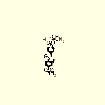 CC(C)(C)OC(=O)N1CCC(C[S+]([O-])c2ccc(S(N)(=O)=O)cc2F)CC1